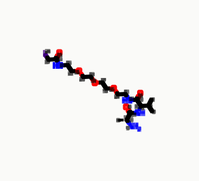 CC(C)[C@@H](NC(=O)[C@@H](C)N)C(=O)NCCOCCOCCOCCNC(=O)CI